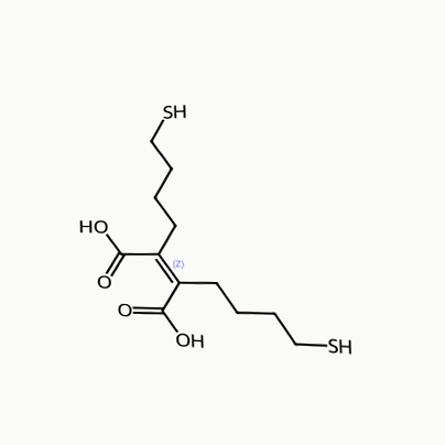 O=C(O)/C(CCCCS)=C(/CCCCS)C(=O)O